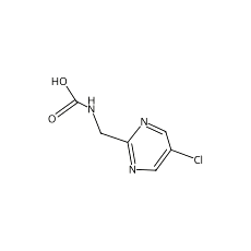 O=C(O)NCc1ncc(Cl)cn1